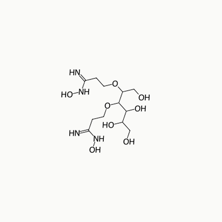 N=C(CCOC(CO)C(OCCC(=N)NO)C(O)C(O)CO)NO